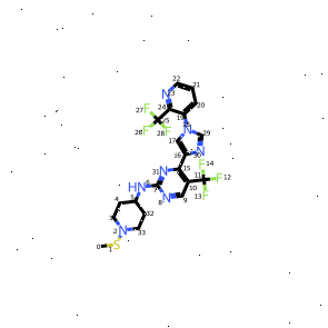 CSN1CCC(Nc2ncc(C(F)(F)F)c(-c3cn(-c4cccnc4C(F)(F)F)cn3)n2)CC1